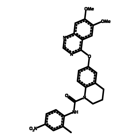 COc1cc2ncnc(Oc3ccc4c(c3)CCCN4C(=O)Nc3ccc([N+](=O)[O-])cc3C)c2cc1OC